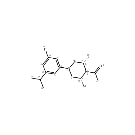 CC(=O)N1[C@H](C)CN(c2cc(F)cc(C(C)C)c2)C[C@@H]1C